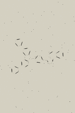 c1ccc(-c2ccc3c(c2)c2cc(-c4ccccc4)ccc2n3-c2ccc(-c3nnc4c5ccccc5ccn34)cc2)cc1